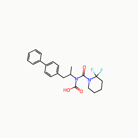 CC(Cc1ccc(-c2ccccc2)cc1)N(C(=O)O)C(=O)N1CCCCC1(F)F